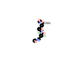 COC(=O)c1ccc(-c2cccc3c2OCN(C(=O)c2c(Cl)cc(-c4cnn(C5CCCCO5)c4)cc2Cl)C3)cc1N1CCOCC1